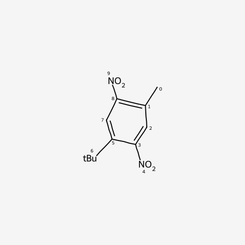 Cc1cc([N+](=O)[O-])c(C(C)(C)C)cc1[N+](=O)[O-]